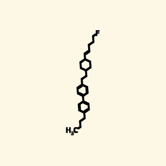 CCCCc1ccc(-c2ccc(CCC3CCC(C=CCCCF)CC3)cc2)cc1